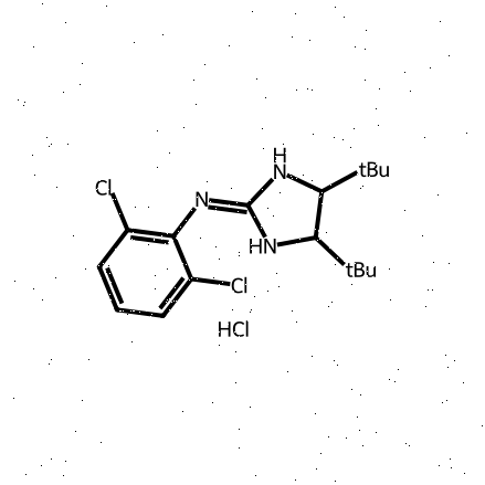 CC(C)(C)C1NC(=Nc2c(Cl)cccc2Cl)NC1C(C)(C)C.Cl